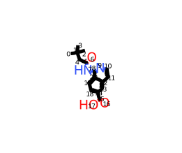 CC(C)(C)CC(=O)Nc1nccc2cc(C(=O)O)ccc12